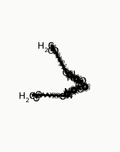 C=CC(=O)OCCCCCCCCCCOc1cnc(-c2ccc(C(=O)O[C@@H]3CCCC[C@H]3OC(=O)c3ccc(-c4ncc(OCCCCCCCCCCOC(=O)C=C)cn4)cc3)cc2)nc1